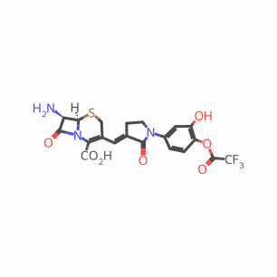 N[C@@H]1C(=O)N2C(C(=O)O)=C(/C=C3\CCN(c4ccc(OC(=O)C(F)(F)F)c(O)c4)C3=O)CS[C@H]12